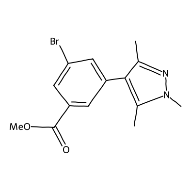 COC(=O)c1cc(Br)cc(-c2c(C)nn(C)c2C)c1